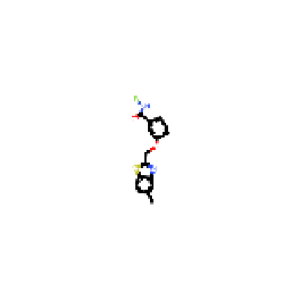 Cc1ccc2sc(COc3cccc(C(=O)NF)c3)nc2c1